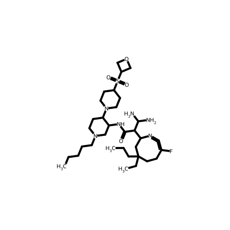 CCCCCN1CCC(N2CCC(S(=O)(=O)C3COC3)CC2)C(NC(=O)C(C(N)N)C2CC(CC)(CCC)CCC(F)=C=N2)C1